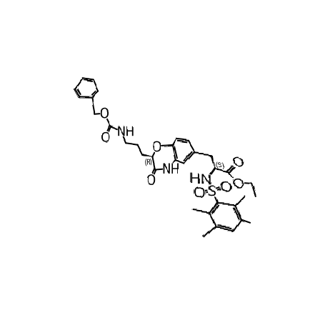 CCOC(=O)[C@H](Cc1ccc2c(c1)NC(=O)[C@@H](CCCNC(=O)OCc1ccccc1)O2)NS(=O)(=O)c1c(C)c(C)cc(C)c1C